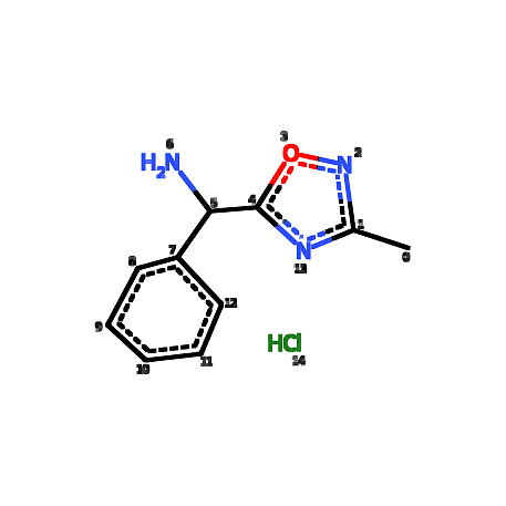 Cc1noc(C(N)c2ccccc2)n1.Cl